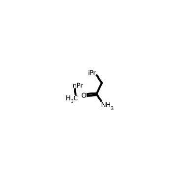 CC(C)CC(N)=O.CCCC